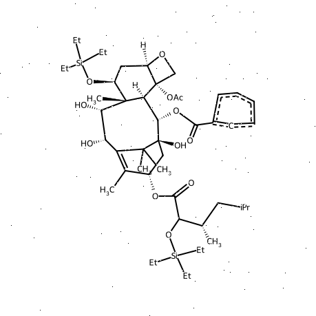 CC[Si](CC)(CC)OC(C(=O)O[C@H]1C[C@@]2(O)[C@@H](OC(=O)c3ccccc3)[C@@H]3[C@]4(OC(C)=O)CO[C@@H]4C[C@H](O[Si](CC)(CC)CC)[C@@]3(C)[C@@H](O)[C@@H](O)C(=C1C)C2(C)C)[C@@H](C)CC(C)C